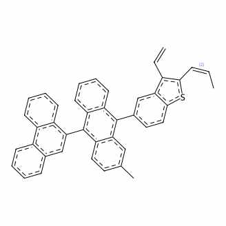 C=Cc1c(/C=C\C)sc2ccc(-c3c4ccccc4c(-c4cc5ccccc5c5ccccc45)c4ccc(C)cc34)cc12